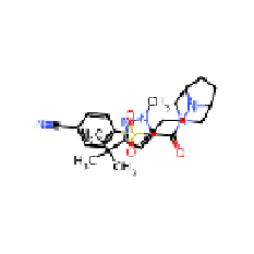 Cn1nc(C(C)(C)C)cc1C(=O)N1CC2CCC(C1)N2CCCS(=O)(=O)c1ccc(C#N)cc1